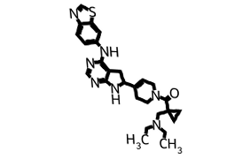 CCN(CC)CC1(C(=O)N2CC=C(C3Cc4c(Nc5ccc6ncsc6c5)ncnc4N3)CC2)CC1